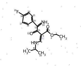 CCOC(=O)/C(=C/NC(C)C)C(=O)C(=N)c1ccc(F)cc1